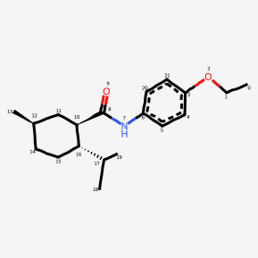 CCOc1ccc(NC(=O)[C@@H]2C[C@H](C)CC[C@H]2C(C)C)cc1